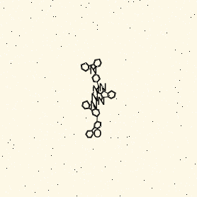 c1ccc2c(c1)-c1nc(-c3ccc(-n4c5ccccc5c5ccccc54)cc3)nc3nc(-n4c5ccccc5c5cc(-c6ccc7oc8ccccc8c7c6)ccc54)nc-2c13